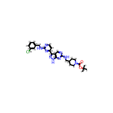 CC(C)(C)OC(=O)N1CCC(CNc2ncc3c(-c4ccnc(NCc5cccc(Cl)c5)n4)n[nH]c3n2)CC1